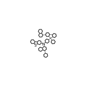 c1ccc(-c2ccc(N(c3ccc(C4(c5ccccc5)c5ccccc5-c5ccc(-c6cccc7ccccc67)cc54)cc3)c3ccc4c(c3)sc3ccccc34)c3ccccc23)cc1